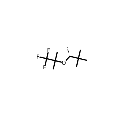 C[C@@H](OC(C)(C)C(F)(F)F)C(C)(C)C